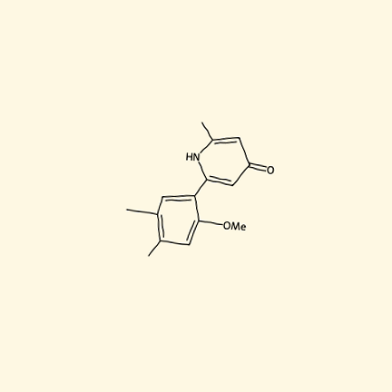 COc1cc(C)c(C)cc1-c1cc(=O)cc(C)[nH]1